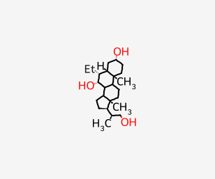 CC[C@H]1[C@@H](O)C2C3CC[C@H]([C@H](C)CO)[C@@]3(C)CCC2[C@@]2(C)CC[C@@H](O)C[C@@H]12